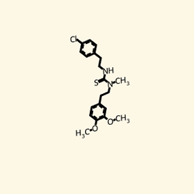 COc1ccc(CCN(C)C(=S)NCCc2ccc(Cl)cc2)cc1OC